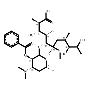 CO[C@](C)(C[C@@H](C)[C@H](O)C(C)O)[C@H](OC1O[C@H](C)C[C@H](N(C)C)[C@H]1OC(=O)c1ccccc1)[C@@H](C)[C@H](O)[C@@H](C)C(=O)O